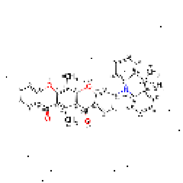 Cc1c2oc3ccccc3c(=O)c2c(C)c2c(=O)c3ccc(N4c5ccccc5C(C)(C)c5ccccc54)cc3oc12